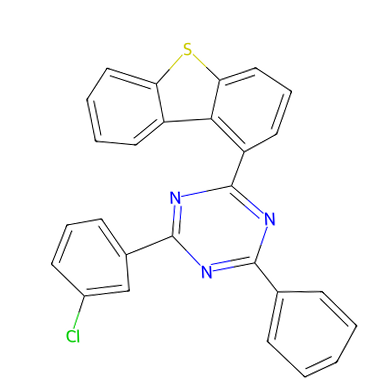 Clc1cccc(-c2nc(-c3ccccc3)nc(-c3cccc4sc5ccccc5c34)n2)c1